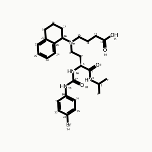 CC(C)NC(=O)[C@H](CCN(CCCC(=O)O)C1CCCc2ccccc21)NC(=O)Nc1ccc(Br)cc1